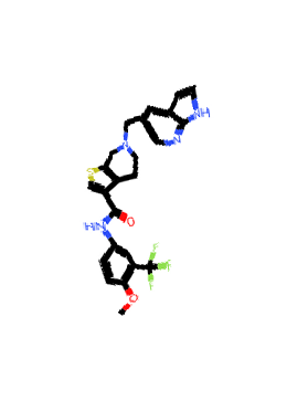 COc1ccc(NC(=O)c2csc3c2CCN(Cc2cnc4[nH]ccc4c2)C3)cc1C(F)(F)F